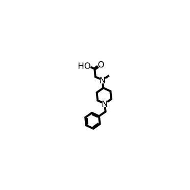 CN(CC(=O)O)C1CCN(Cc2ccccc2)CC1